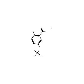 NNC(=O)c1cc(OC(F)(F)F)ccc1Cl